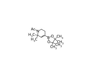 CC(=O)N1CCC(B2OC(C)(C)C(C)(C)O2)=CC1(C)C